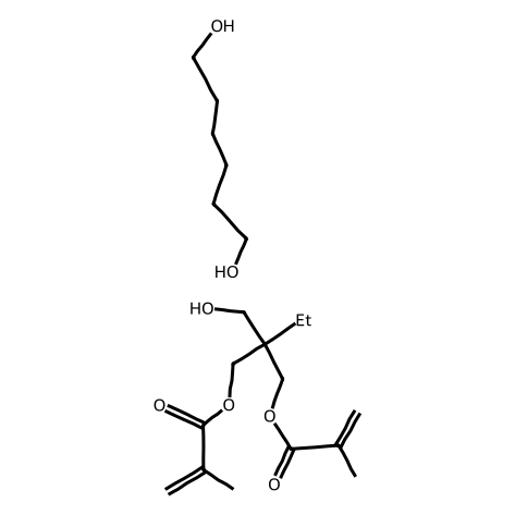 C=C(C)C(=O)OCC(CC)(CO)COC(=O)C(=C)C.OCCCCCCO